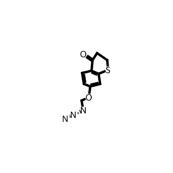 [N-]=[N+]=NCOc1ccc2c(c1)SCCC2=O